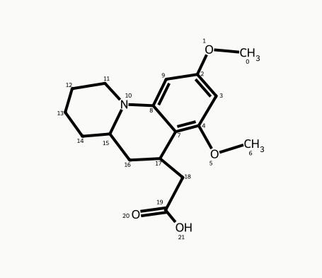 COc1cc(OC)c2c(c1)N1CCCCC1CC2CC(=O)O